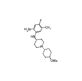 CO[C@H]1CC[C@H](N2CCC(Nc3cc(C)c(F)cc3N)CC2)CC1